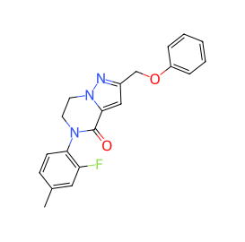 Cc1ccc(N2CCn3nc(COc4ccccc4)cc3C2=O)c(F)c1